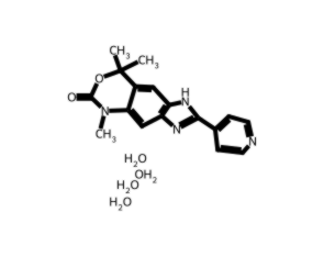 CN1C(=O)OC(C)(C)c2cc3[nH]c(-c4ccncc4)nc3cc21.O.O.O.O